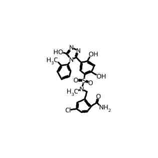 Cc1ccccc1-n1c(O)nnc1-c1cc(S(=O)(=O)N(C)Cc2cc(Cl)ccc2C(N)=O)c(O)cc1O